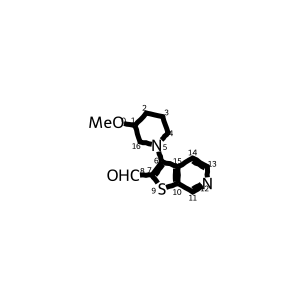 COC1CCCN(c2c(C=O)sc3cnccc23)C1